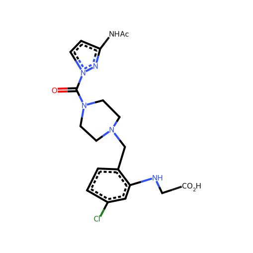 CC(=O)Nc1ccn(C(=O)N2CCN(Cc3ccc(Cl)cc3NCC(=O)O)CC2)n1